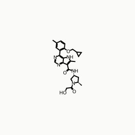 Cc1ccc(OCC2CC2)c(-c2ncnc3c(C(=O)N[C@@H]4C[C@@H](C)N(C(=O)CO)C4)c(C)[nH]c23)c1